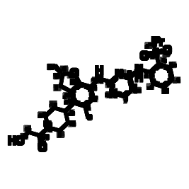 Cc1cc(Nc2ncnc(Nc3ccccc3S(=O)(=O)C(C)C)n2)c2c(c1C1CCN(C(=O)CO)CC1)C[C@@H](C)O2